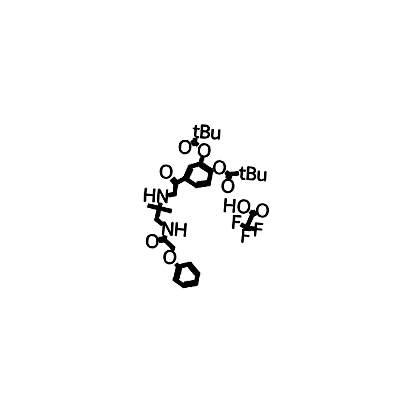 CC(C)(CNC(=O)COc1ccccc1)NCC(=O)c1ccc(OC(=O)C(C)(C)C)c(OC(=O)C(C)(C)C)c1.O=C(O)C(F)(F)F